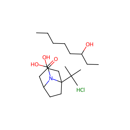 CC(C)(C)C12CCC(CC(O)C1)N2C(=O)O.CCCCCC(O)CC.Cl